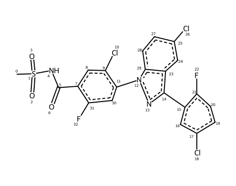 CS(=O)(=O)NC(=O)c1cc(Cl)c(-n2nc(-c3cc(Cl)ccc3F)c3cc(Cl)ccc32)cc1F